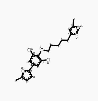 Cc1cc(CCCCCOc2c(Cl)cc(-c3ccc(C)o3)cc2Cl)on1